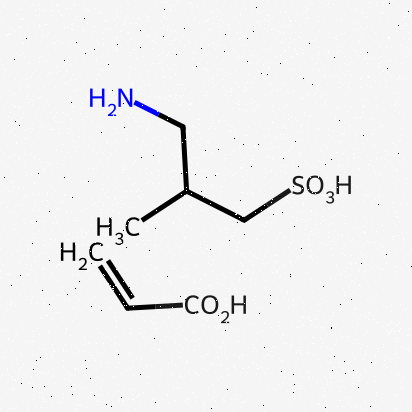 C=CC(=O)O.CC(CN)CS(=O)(=O)O